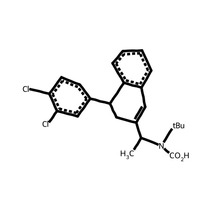 CC(C1=Cc2ccccc2C(c2ccc(Cl)c(Cl)c2)C1)N(C(=O)O)C(C)(C)C